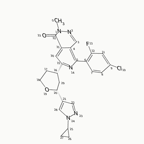 Cn1ncc2c(-c3ccc(Cl)cc3F)nc([C@H]3CCO[C@@H](c4cnn(C5CC5)c4)C3)cc2c1=O